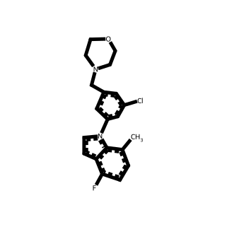 Cc1ccc(F)c2ccn(-c3cc(Cl)cc(CN4CCOCC4)c3)c12